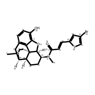 CN1CC[C@]23c4c5ccc(O)c4O[C@H]2[C@@H](N(C)C(=O)/C=C/c2cc(Br)cs2)CC[C@H]3[C@H]1C5